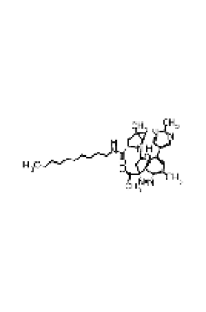 CCCCCCCCCCNC(=O)[C@@H]1C[C@@]2(C)C[C@H]2N1C(=O)CC1(C(C)=O)N=Nc2c(C)cc(-c3cnc(C)nc3)cc21